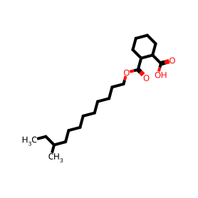 CCC(C)CCCCCCCCCOC(=O)C1CCCCC1C(=O)O